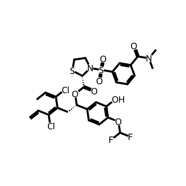 C=C/C(Cl)=C(C[C@H](OC(=O)[C@@H]1SCCN1S(=O)(=O)c1cccc(C(=O)N(C)C)c1)c1ccc(OC(F)F)c(O)c1)\C(Cl)=C/C